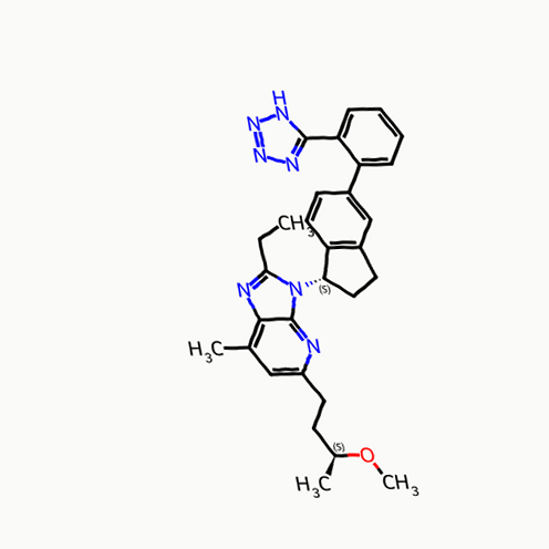 CCc1nc2c(C)cc(CC[C@H](C)OC)nc2n1[C@H]1CCc2cc(-c3ccccc3-c3nnn[nH]3)ccc21